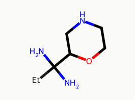 CCC(N)(N)C1CNCCO1